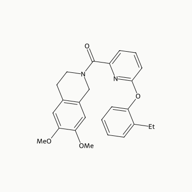 CCc1ccccc1Oc1cccc(C(=O)N2CCc3cc(OC)c(OC)cc3C2)n1